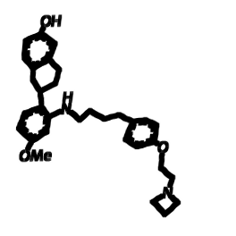 COc1ccc(C2CCc3cc(O)ccc3C2)c(NCCCCc2ccc(OCCN3CCC3)cc2)c1